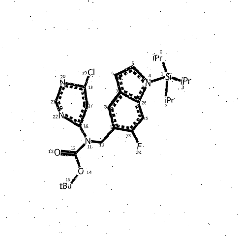 CC(C)[Si](C(C)C)(C(C)C)n1ccc2cc(CN(C(=O)OC(C)(C)C)c3cc(Cl)ncn3)c(F)cc21